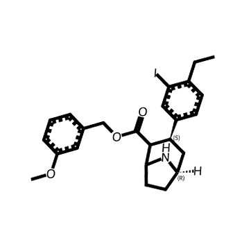 CCc1ccc([C@H]2C[C@H]3CCC(N3)C2C(=O)OCc2cccc(OC)c2)cc1I